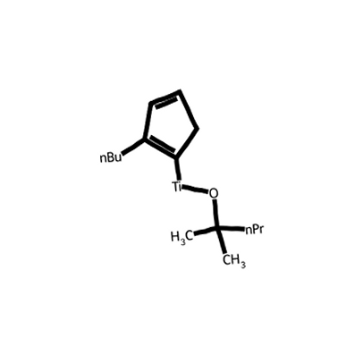 CCCCC1=[C]([Ti][O]C(C)(C)CCC)CC=C1